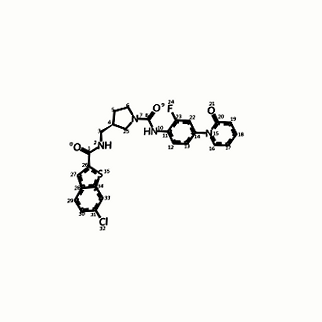 O=C(NC[C@H]1CCN(C(=O)Nc2ccc(-n3ccccc3=O)cc2F)C1)c1cc2ccc(Cl)cc2s1